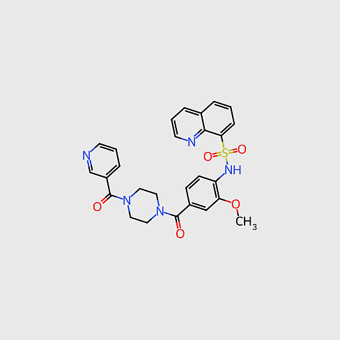 COc1cc(C(=O)N2CCN(C(=O)c3cccnc3)CC2)ccc1NS(=O)(=O)c1cccc2cccnc12